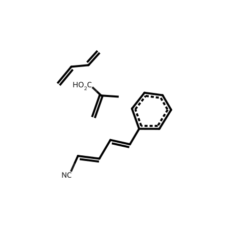 C=C(C)C(=O)O.C=CC=C.N#CC=CC=Cc1ccccc1